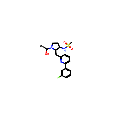 CC(C)C(O)N1CCC(NS(C)(=O)=O)C1Cc1cccc(-c2cccc(F)c2)n1